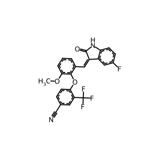 COc1cccc(C=C2C(=O)Nc3ccc(F)cc32)c1Oc1ccc(C#N)cc1C(F)(F)F